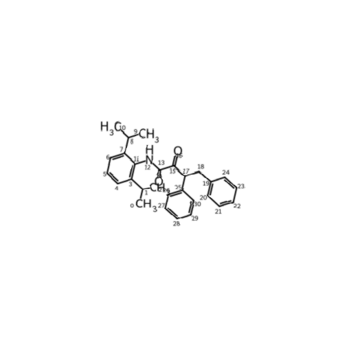 CC(C)c1cccc(C(C)C)c1NC(=O)C(=O)C(Cc1ccccc1)c1ccccc1